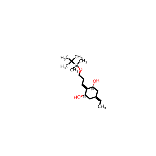 CC=C1C[C@@H](O)C(=CCCO[Si](C)(C)C(C)(C)C)[C@H](O)C1